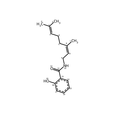 CC(C)=CCCC(C)=CCNC(=O)c1ccccc1O